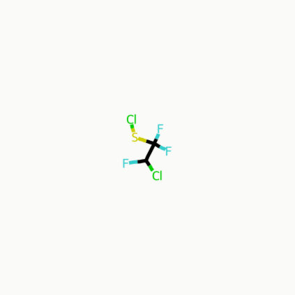 FC(Cl)C(F)(F)SCl